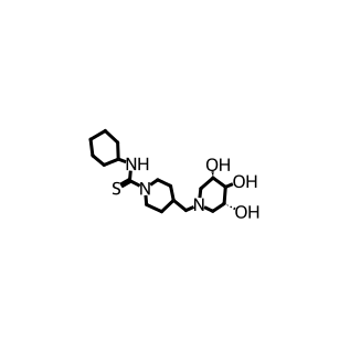 OC1[C@H](O)CN(CC2CCN(C(=S)NC3CCCCC3)CC2)C[C@@H]1O